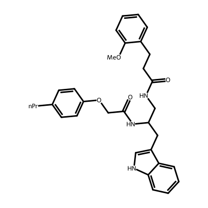 CCCc1ccc(OCC(=O)NC(CNC(=O)CCc2ccccc2OC)Cc2c[nH]c3ccccc23)cc1